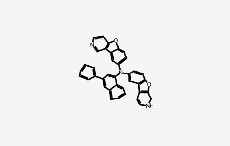 C1=Cc2c(oc3ccc(N(c4ccc5oc6ccncc6c5c4)c4cc(-c5ccccc5)cc5ccccc45)cc23)CN1